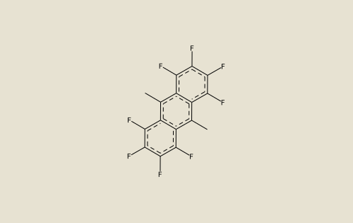 Cc1c2c(F)c(F)c(F)c(F)c2c(C)c2c(F)c(F)c(F)c(F)c12